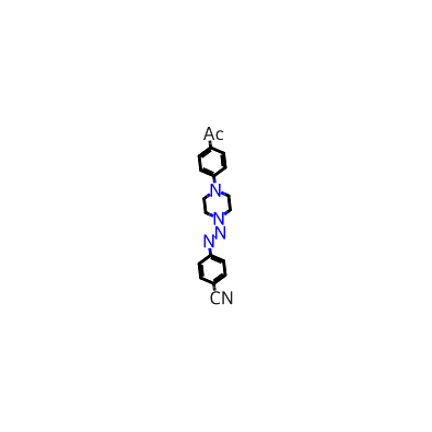 CC(=O)c1ccc(N2CCN(/N=N/c3ccc(C#N)cc3)CC2)cc1